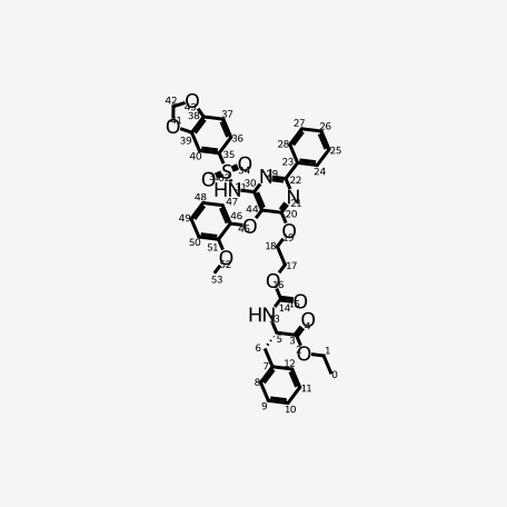 CCOC(=O)[C@H](Cc1ccccc1)NC(=O)OCCOc1nc(-c2ccccc2)nc(NS(=O)(=O)c2ccc3c(c2)OCO3)c1Oc1ccccc1OC